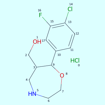 Cl.OCC1CNCCOC1c1ccc(Cl)c(F)c1